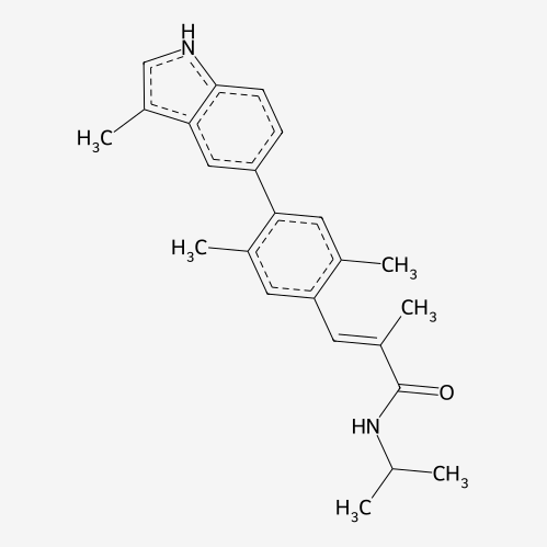 C/C(=C\c1cc(C)c(-c2ccc3[nH]cc(C)c3c2)cc1C)C(=O)NC(C)C